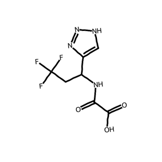 O=C(O)C(=O)NC(CC(F)(F)F)c1c[nH]nn1